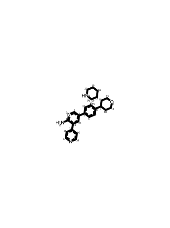 Nc1ncc(-c2ccc(C3CCOCC3)c([C@H]3CCCCN3)c2)cc1-c1ccncc1